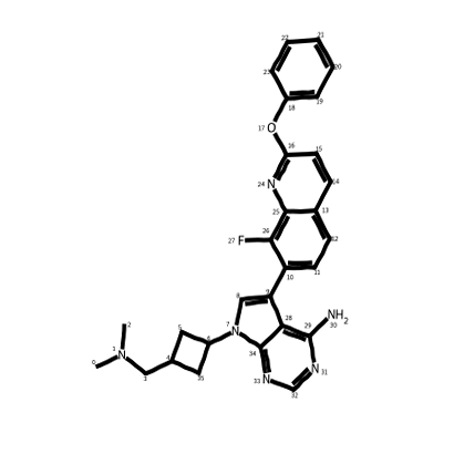 CN(C)CC1CC(n2cc(-c3ccc4ccc(Oc5ccccc5)nc4c3F)c3c(N)ncnc32)C1